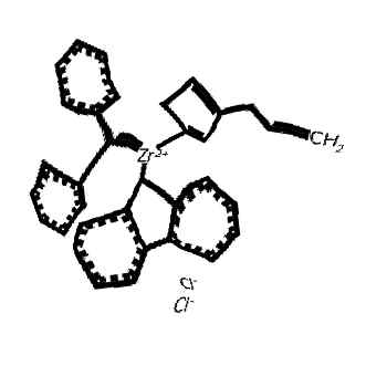 C=CCC1=CC[C]([Zr+2](=[C](c2ccccc2)c2ccccc2)[CH]2c3ccccc3-c3ccccc32)=C1.[Cl-].[Cl-]